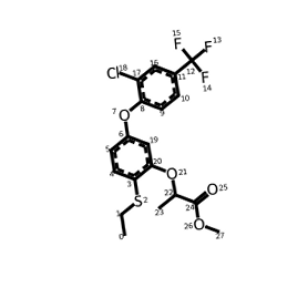 CCSc1ccc(Oc2ccc(C(F)(F)F)cc2Cl)cc1OC(C)C(=O)OC